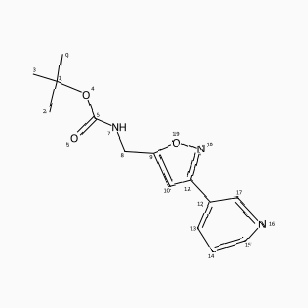 CC(C)(C)OC(=O)NCc1cc(-c2cccnc2)no1